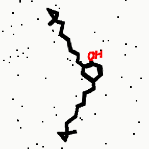 CC1(CCCCCCc2ccc(O)c(CCCCCCC3(C)CC3)c2)CC1